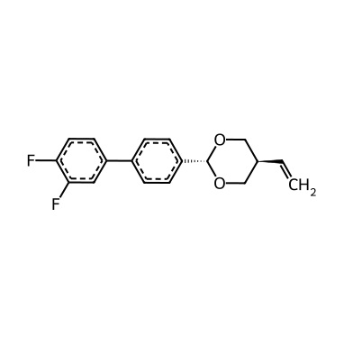 C=C[C@H]1CO[C@H](c2ccc(-c3ccc(F)c(F)c3)cc2)OC1